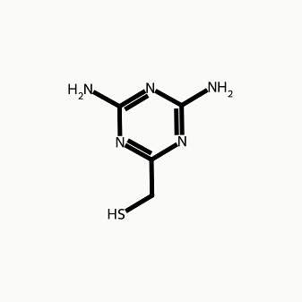 Nc1nc(N)nc(CS)n1